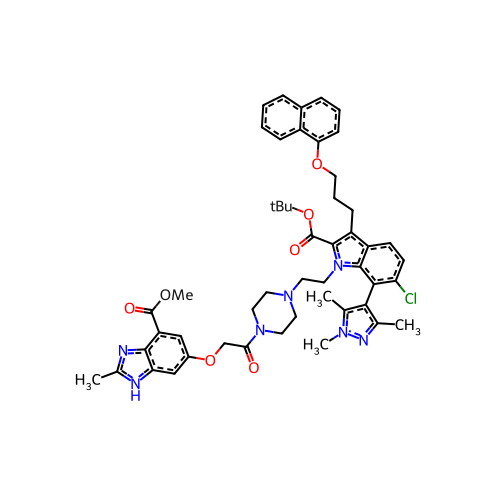 COC(=O)c1cc(OCC(=O)N2CCN(CCn3c(C(=O)OC(C)(C)C)c(CCCOc4cccc5ccccc45)c4ccc(Cl)c(-c5c(C)nn(C)c5C)c43)CC2)cc2[nH]c(C)nc12